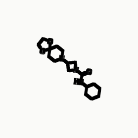 O=C(NC1CCCCC1)N1CC(N2CCC3(CC2)OCCO3)C1